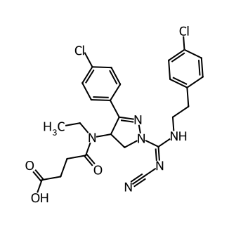 CCN(C(=O)CCC(=O)O)C1CN(/C(=N\C#N)NCCc2ccc(Cl)cc2)N=C1c1ccc(Cl)cc1